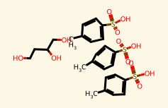 Cc1ccc(S(=O)(=O)O)cc1.Cc1ccc(S(=O)(=O)O)cc1.Cc1ccc(S(=O)(=O)O)cc1.OCCC(O)CO